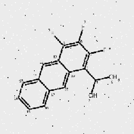 CC(O)c1c(F)c(F)c(F)c2cc3ccccc3cc12